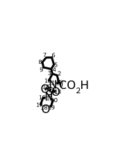 O=C(O)[C@@H]1CC(C2CCCCC2)CN1S(=O)(=O)N1CCOCC1